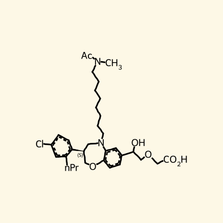 CCCc1cc(Cl)ccc1[C@@H]1COc2ccc(C(O)COCC(=O)O)cc2N(CCCCCCCCN(C)C(C)=O)C1